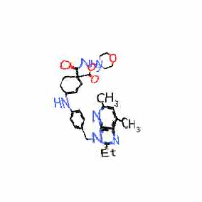 CCc1nc2c(C)cc(C)nc2n1Cc1ccc(NC2CCC(C(N)=O)(C(=O)ON3CCOCC3)CC2)cc1